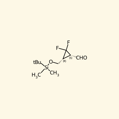 CC(C)(C)[Si](C)(C)OC[C@H]1[C@@H](C=O)C1(F)F